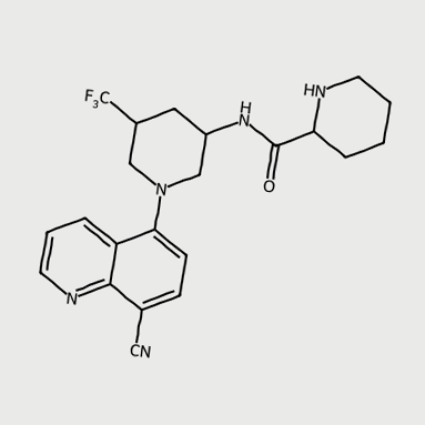 N#Cc1ccc(N2CC(NC(=O)C3CCCCN3)CC(C(F)(F)F)C2)c2cccnc12